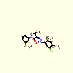 CC1=NN(c2cccc(S(=O)(=O)O)c2)C(=O)C1=NNc1cc(Cl)c(C)cc1S(=O)(=O)O